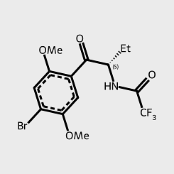 CC[C@H](NC(=O)C(F)(F)F)C(=O)c1cc(OC)c(Br)cc1OC